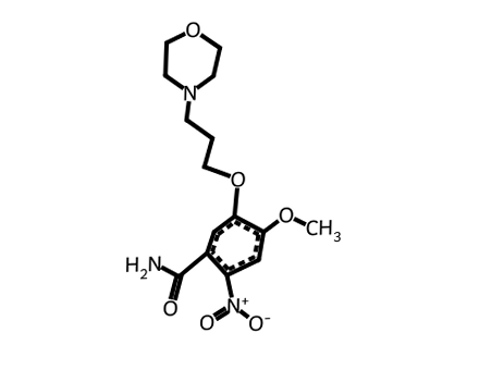 COc1cc([N+](=O)[O-])c(C(N)=O)cc1OCCCN1CCOCC1